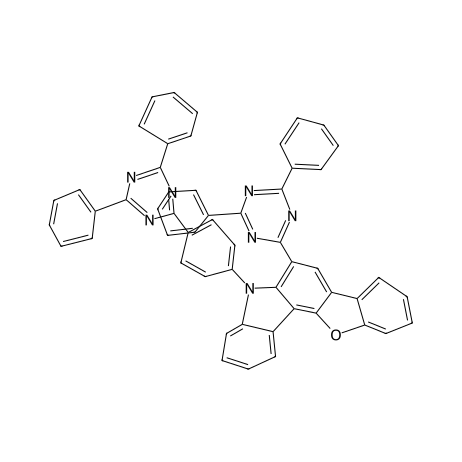 c1ccc(-c2nc(-c3ccccc3)nc(-c3ccc(-n4c5ccccc5c5c6oc7ccccc7c6cc(-c6nc(-c7ccccc7)nc(-c7ccccc7)n6)c54)cc3)n2)cc1